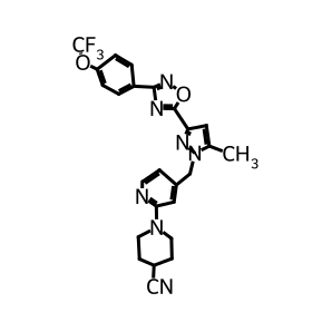 Cc1cc(-c2nc(-c3ccc(OC(F)(F)F)cc3)no2)nn1Cc1ccnc(N2CCC(C#N)CC2)c1